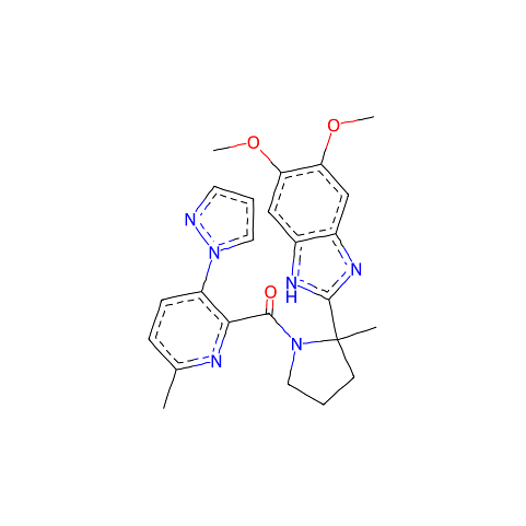 COc1cc2nc(C3(C)CCCN3C(=O)c3nc(C)ccc3-n3cccn3)[nH]c2cc1OC